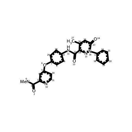 CNC(=O)c1cc(Oc2ccc(NC(=O)c3nn(-c4ccccc4)c(=O)cc3C)cc2)ccn1